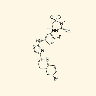 CN1C(=N)NC(C)(c2cc(Nc3nc(-c4ccc5cc(Br)ccc5n4)cs3)ccc2F)CS1(=O)=O